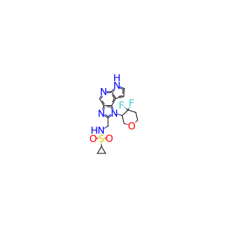 O=S(=O)(NCc1nc2cnc3[nH]ccc3c2n1C1COCCC1(F)F)C1CC1